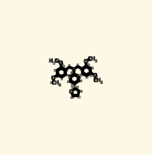 COc1ccc(CN(Cc2ccc(OC)cc2OC)c2ncc([C@@H]3CC=CO3)cn2)c(OC)c1